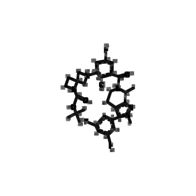 CC1c2nn(C)c(-c3cc(F)cc(F)c3)c2CCN1C(=O)c1cc(F)cc(N2CC3(CCN3C(=O)OC(C)(C)C)C2)c1Cl